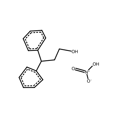 O=[N+]([O-])O.OCCC(c1ccccc1)c1ccccc1